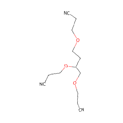 N#CCCOCCC(COCCC#N)OCCC#N